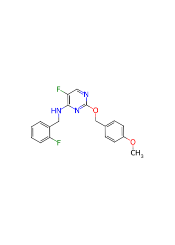 COc1ccc(COc2ncc(F)c(NCc3ccccc3F)n2)cc1